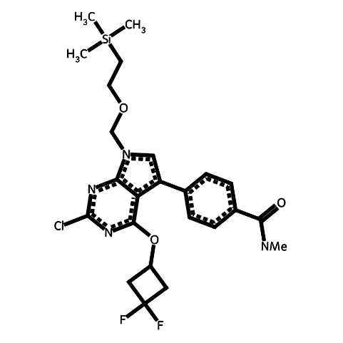 CNC(=O)c1ccc(-c2cn(COCC[Si](C)(C)C)c3nc(Cl)nc(OC4CC(F)(F)C4)c23)cc1